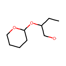 CCC(C[O])OC1CCCCO1